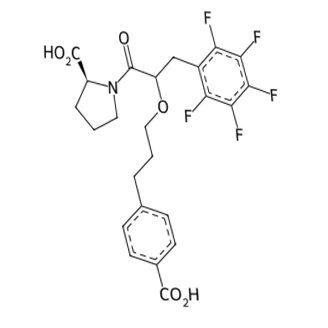 O=C(O)c1ccc(CCCOC(Cc2c(F)c(F)c(F)c(F)c2F)C(=O)N2CCC[C@H]2C(=O)O)cc1